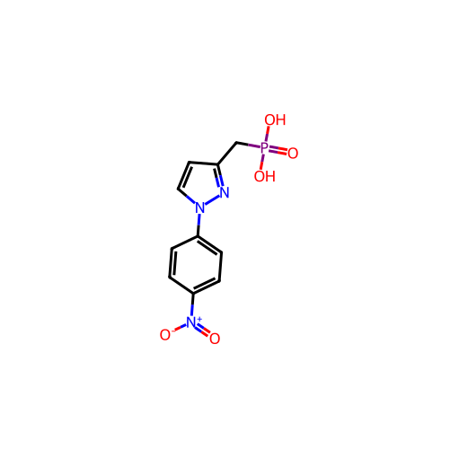 O=[N+]([O-])c1ccc(-n2ccc(CP(=O)(O)O)n2)cc1